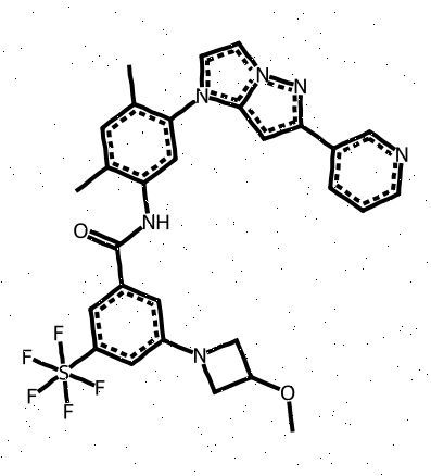 COC1CN(c2cc(C(=O)Nc3cc(-n4ccn5nc(-c6cccnc6)cc45)c(C)cc3C)cc(S(F)(F)(F)(F)F)c2)C1